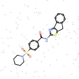 O=C(Nc1nc2c(s1)Cc1ccccc1-2)c1ccc(S(=O)(=O)N2CCCCC2)cc1